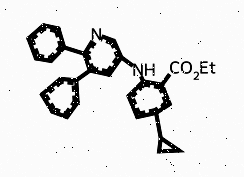 CCOC(=O)c1cc(C2CC2)ccc1Nc1cnc(-c2ccccc2)c(-c2ccccc2)c1